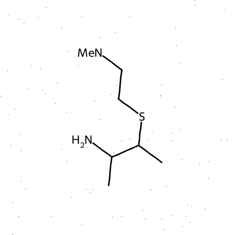 CNCCSC(C)C(C)N